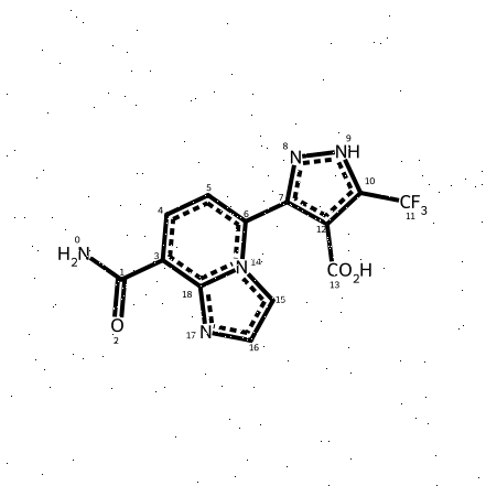 NC(=O)c1ccc(-c2n[nH]c(C(F)(F)F)c2C(=O)O)n2ccnc12